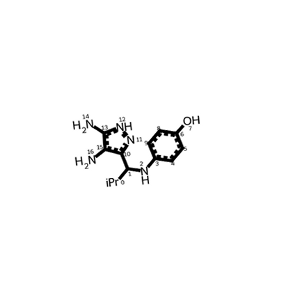 CC(C)C(Nc1ccc(O)cc1)c1n[nH]c(N)c1N